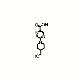 O=C(O)c1cnc(N2CCC(CO)CC2)cn1